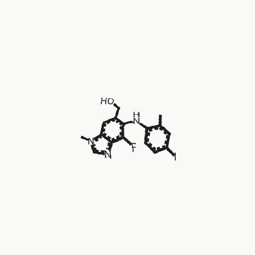 Cc1cc(I)ccc1Nc1c(CO)cc2c(ncn2C)c1F